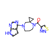 O=C(c1csnn1)N1CCCN(c2ncnc3[nH]ccc23)CC12CC2